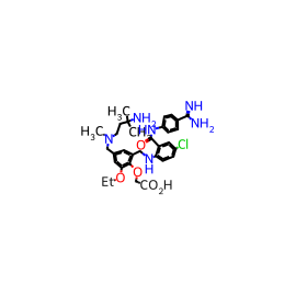 CCOc1cc(CN(C)CCC(C)(C)N)cc(CNc2ccc(Cl)cc2C(=O)Nc2ccc(C(=N)N)cc2)c1OCC(=O)O